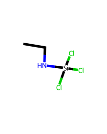 CCN[Si](Cl)(Cl)Cl